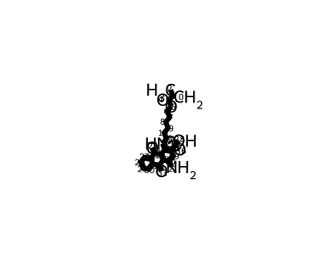 C=C(C)C(=O)OCCCCCCNc1c(S(=O)(=O)O)cc(N)c2c1C(=O)c1ccccc1C2=O